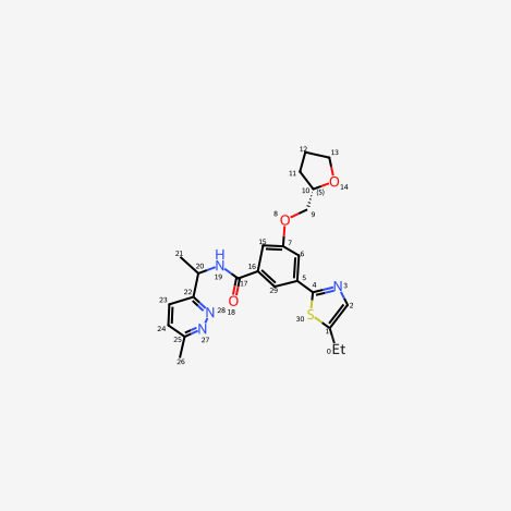 CCc1cnc(-c2cc(OC[C@@H]3CCCO3)cc(C(=O)NC(C)c3ccc(C)nn3)c2)s1